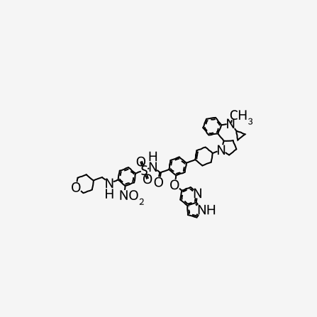 CN(c1ccccc1C1CCCN1C1CC=C(c2ccc(C(=O)NS(=O)(=O)c3ccc(NCC4CCOCC4)c([N+](=O)[O-])c3)c(Oc3cnc4[nH]ccc4c3)c2)CC1)C1CC1